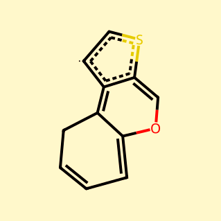 [c]1csc2c1=C1CC=CC=C1OC=2